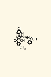 Cc1ccc(C(=O)c2nn(-c3ccc(Cl)cc3)c(NCCCNC(CO)c3ccccc3)c2C#N)cc1